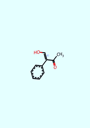 CC(=O)/C(=C/O)c1ccccc1